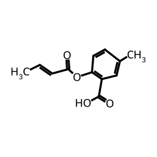 CC=CC(=O)Oc1ccc(C)cc1C(=O)O